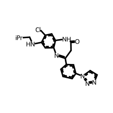 CC(C)CNc1cc2c(cc1Cl)NC(=O)CC(c1cccc(-n3ccnn3)c1)=N2